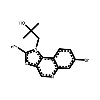 CCCc1nc2cnc3cc(Br)ccc3c2n1CC(C)(C)O